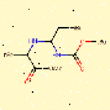 CCCC(NC(CC(C)CC)NC(=O)OC(C)(C)C)C(=O)OC